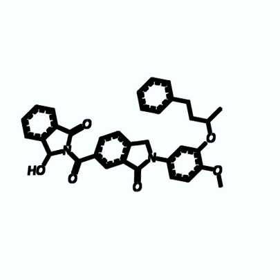 COc1ccc(N2Cc3ccc(C(=O)N4C(=O)c5ccccc5C4O)cc3C2=O)cc1OC(C)CCc1ccccc1